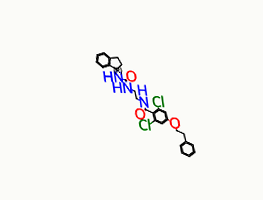 O=C(NCCNC(=O)c1c(Cl)cc(OCCc2ccccc2)cc1Cl)N[C@@H]1CCc2ccccc21